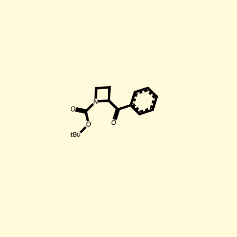 CC(C)(C)OC(=O)N1CCC1C(=O)c1ccccc1